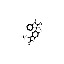 Cn1c(=O)oc2cc3c(cc21)C1(CO3)C(=O)Nc2ccccc21